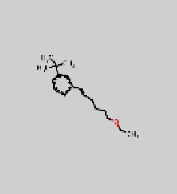 CCOCCCC/C=C/c1cccc(C(C)(C)C)c1